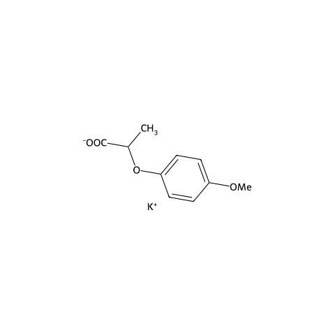 COc1ccc(OC(C)C(=O)[O-])cc1.[K+]